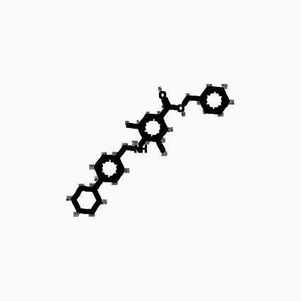 Cc1cc(C(=O)OCc2ccccc2)cc(C)c1NCc1ccc(C2CCCCC2)cc1